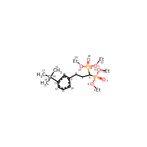 CCOP(=O)(OCC)C(CCc1cccc([Si](C)(C)C)c1)P(=O)(OCC)OCC